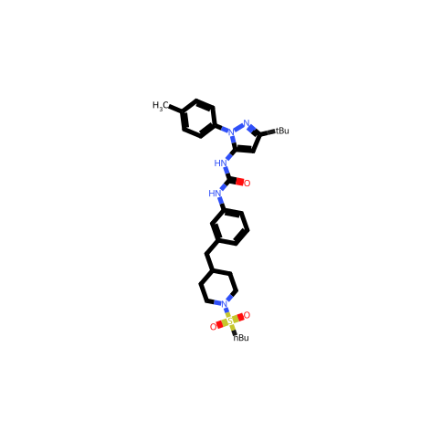 CCCCS(=O)(=O)N1CCC(Cc2cccc(NC(=O)Nc3cc(C(C)(C)C)nn3-c3ccc(C)cc3)c2)CC1